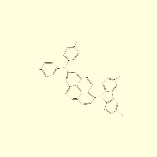 Cc1ccc(N(c2ccc(C)cc2)c2cc3ccc4ccc(-n5c6ccc(C)cc6c6cc(C)ccc65)c5ccc(c2)c3c45)cc1